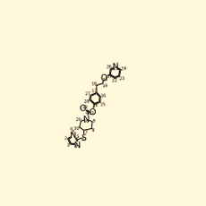 Cn1ccnc1SC1CCN(C(=O)Oc2ccc(CCOc3cccnc3)cc2)CC1